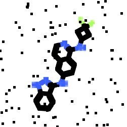 FC1(F)CC(Nc2nccc3cc(Nc4n[nH]c5ccccc45)ccc23)C1